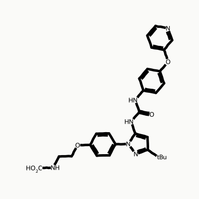 CC(C)(C)c1cc(NC(=O)Nc2ccc(Oc3cccnc3)cc2)n(-c2ccc(OCCNC(=O)O)cc2)n1